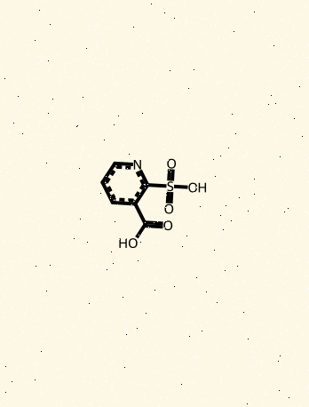 O=C(O)c1cccnc1S(=O)(=O)O